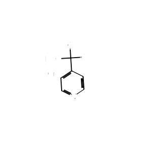 CC(C)(C)c1ccncc1.[Cr]